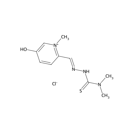 CN(C)C(=S)NN=Cc1ccc(O)c[n+]1C.[Cl-]